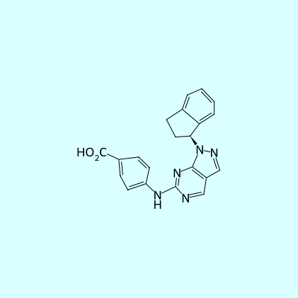 O=C(O)c1ccc(Nc2ncc3cnn([C@H]4CCc5ccccc54)c3n2)cc1